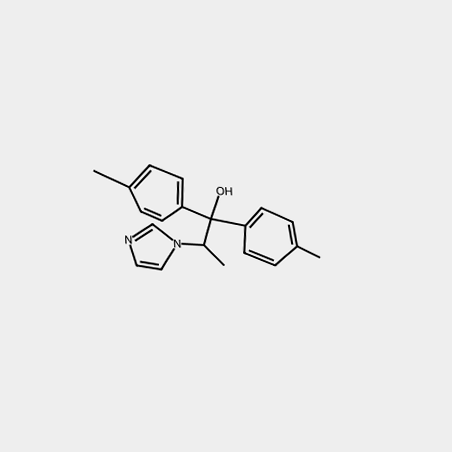 Cc1ccc(C(O)(c2ccc(C)cc2)C(C)n2ccnc2)cc1